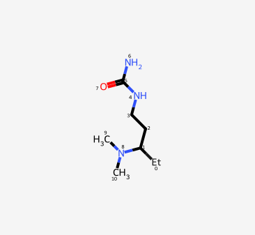 CCC(CCNC(N)=O)N(C)C